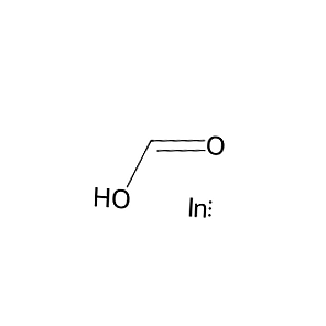 O=CO.[In]